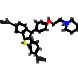 COc1ccc2c(c1)-c1sc3cc(OC)ccc3c1C2c1ccc(OCCN2CCCCC2)cc1